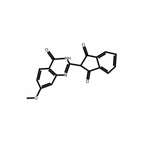 COc1ccc2c(=O)[nH]c(C3C(=O)c4ccccc4C3=O)nc2c1